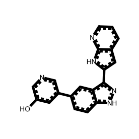 Oc1cncc(-c2ccc3[nH]nc(-c4cc5cccnc5[nH]4)c3c2)c1